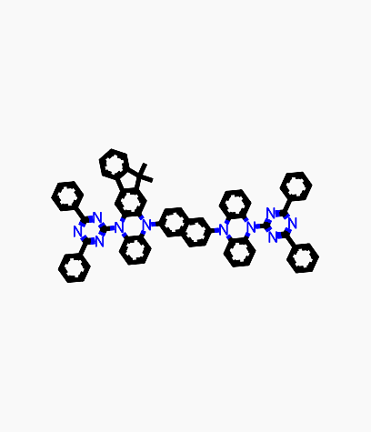 CC1(C)c2ccccc2-c2cc3c(cc21)N(c1ccc2cc(N4c5ccccc5N(c5nc(-c6ccccc6)nc(-c6ccccc6)n5)c5ccccc54)ccc2c1)c1ccccc1N3c1nc(-c2ccccc2)nc(-c2ccccc2)n1